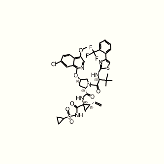 C=C[C@@H]1C[C@]1(NC(=O)[C@@H]1C[C@@H](Oc2ncc(OC)c3ccc(Cl)cc23)CN1C(=O)[C@@H](Nc1nc(-c2ccccc2C(F)(F)F)cs1)C(C)(C)C)C(=O)NS(=O)(=O)C1CC1